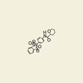 O=C(Nc1ccc(N2S(=O)(=O)c3ccccc3S2(=O)=O)cc1)C1CCCCO1